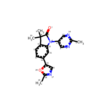 Cc1ncc(N2C(=O)C(C)(C)c3ccc(-c4cnc(C)o4)cc32)cn1